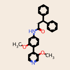 COc1cnccc1-c1ccc(NC(=O)[CH]C(c2ccccc2)c2ccccc2)cc1OC